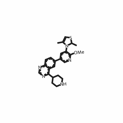 COc1ncc(-c2ccc3ncnc(C4CCNCC4)c3c2)cc1N1C(C)=CSC1C